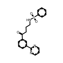 O=C(CCCNS(=O)(=O)c1ccccc1)c1cccc(-c2ncccn2)c1